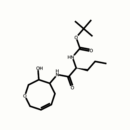 CCC[C@H](NC(=O)OC(C)(C)C)C(=O)NC1CC=CCOCC1O